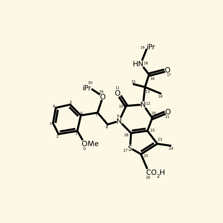 COc1ccccc1C(Cn1c(=O)n(C(C)(C)C(=O)NC(C)C)c(=O)c2c(C)c(C(=O)O)sc21)OC(C)C